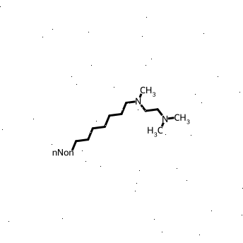 CCCCCCCCCCCCCCCCN(C)CCN(C)C